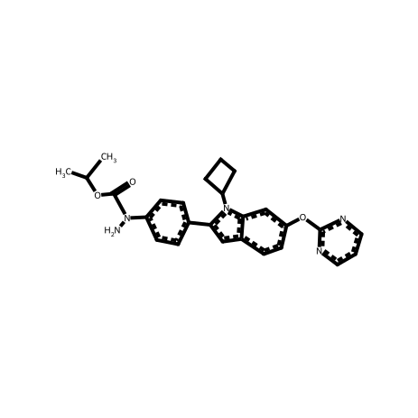 CC(C)OC(=O)N(N)c1ccc(-c2cc3ccc(Oc4ncccn4)cc3n2C2CCC2)cc1